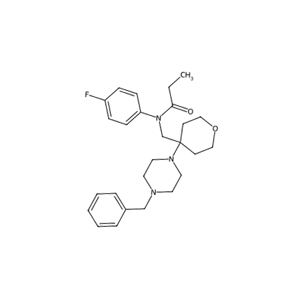 CCC(=O)N(CC1(N2CCN(Cc3ccccc3)CC2)CCOCC1)c1ccc(F)cc1